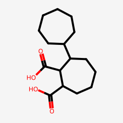 O=C(O)C1CCCCC(C2CCCCCC2)C1C(=O)O